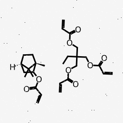 C=CC(=O)OC1C[C@H]2CC[C@@]1(C)C2(C)C.C=CC(=O)OCC(CC)(COC(=O)C=C)COC(=O)C=C